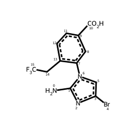 Nc1nc(Br)cn1-c1cc(C(=O)O)ccc1CC(F)(F)F